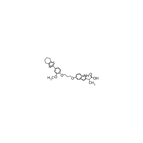 COc1cc(-c2nc3c(s2)CCCC3)ccc1OCCCOc1ccc2[nH]c(C(C)C(=O)O)cc2c1